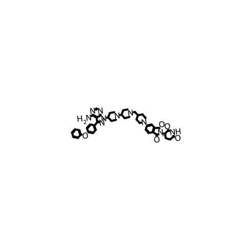 Nc1ncnc2c1c(-c1ccc(Oc3ccccc3)cc1)nn2C1CCN(C2CCN(CC3CCN(c4ccc5c(c4)C(=O)N([C@@H]4CCC(=O)NC4=O)C5=O)CC3)CC2)CC1